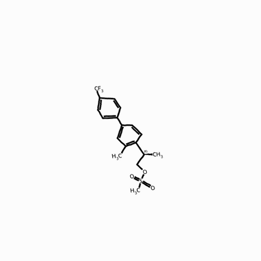 Cc1cc(-c2ccc(C(F)(F)F)cc2)ccc1[C@@H](C)COS(C)(=O)=O